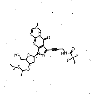 CSS[C@H](C)OC1C[C@H](n2nc(C#CCNC(=O)C(F)(F)F)c3c(=O)[nH]c(/N=C\N(C)C)nc32)O[C@@H]1CO